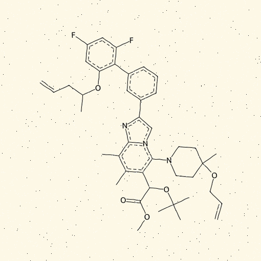 C=CCOC1(C)CCN(c2c(C(OC(C)(C)C)C(=O)OC)c(C)c(C)c3nc(-c4cccc(-c5c(F)cc(F)cc5OC(C)CC=C)c4)cn23)CC1